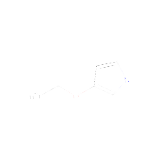 CCCCOc1[c][nH]cc1